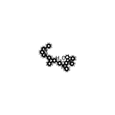 CC1CC=CC2=C1c1cc3c(-c4ccc(-c5ccc6c7ccc(-c8ccc9ccc%10ccc(-c%11ccccc%11)nc%10c9n8)cc7c7ccccc7c6c5)cc4)nc4ccccc4c3cc1C2(c1ccccc1)c1ccccc1